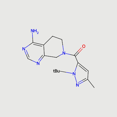 Cc1cc(C(=O)N2CCc3c(N)ncnc3C2)n(C(C)(C)C)n1